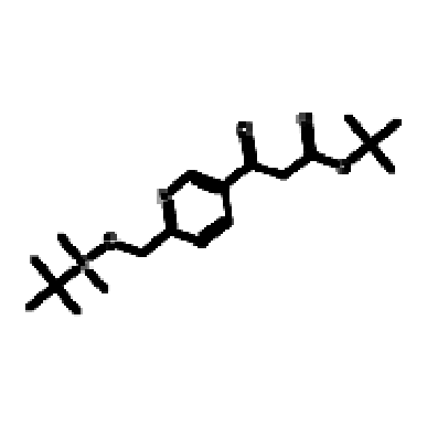 CC(C)(C)OC(=O)CC(=O)c1ccc(CO[Si](C)(C)C(C)(C)C)nc1